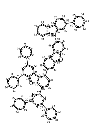 c1ccc(-c2cc(-c3ccccc3)c3oc4c(-c5nc(-c6ccccc6)nc(-c6ccccc6)n5)ccc(-c5ccc6c(c5)oc5ccc(-n7c8ccccc8c8ccc(-c9ccccc9)cc87)cc56)c4c3c2)cc1